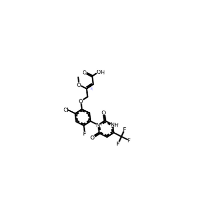 CO/C(=C\C(=O)O)COc1cc(-n2c(=O)cc(C(F)(F)F)[nH]c2=O)c(F)cc1Cl